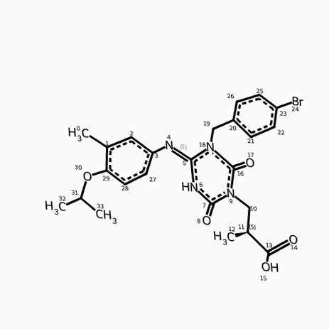 Cc1cc(/N=c2\[nH]c(=O)n(C[C@H](C)C(=O)O)c(=O)n2Cc2ccc(Br)cc2)ccc1OC(C)C